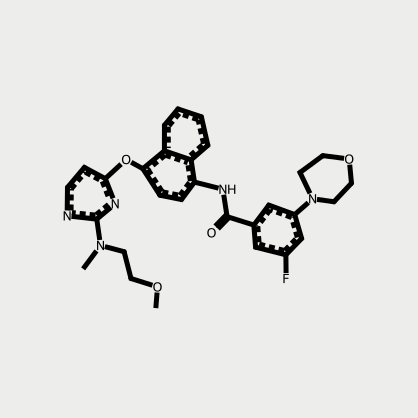 COCCN(C)c1nccc(Oc2ccc(NC(=O)c3cc(F)cc(N4CCOCC4)c3)c3ccccc23)n1